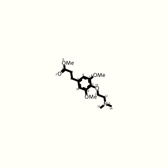 COC(=O)CCc1cc(OC)c(OCCN(C)C)c(OC)c1